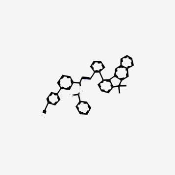 CC1(C)c2cc3ccccc3cc2-c2c(-c3ccccc3/C=C/C(NC(N)c3ccccc3)c3cccc(-c4ccc(C#N)cc4)c3)cccc21